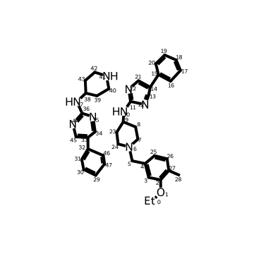 CCOc1cc(CN2CCC(Nc3ncc(-c4ccccc4)cn3)CC2)ccc1C.c1ccc(-c2cnc(NC3CCNCC3)nc2)cc1